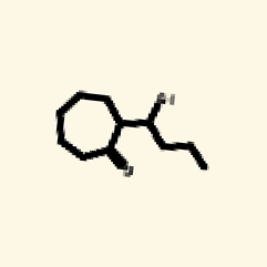 CCCC(O)C1CCCCCC1=O